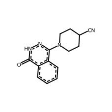 N#CC1CCN(c2n[nH]c(=O)c3ccccc23)CC1